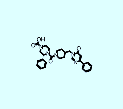 O=C(O)N1CCN(C(=O)N2CCC(Cn3cnc(-c4ccccc4)cc3=O)CC2)[C@H](c2ccccc2)C1